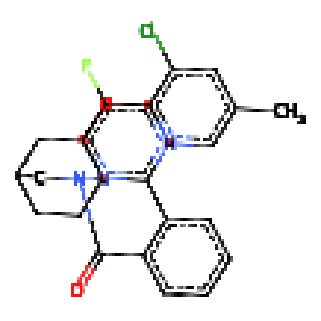 Cc1cnc(OC2CC3CCC2N(C(=O)c2ccccc2-c2ncc(F)cn2)C3)c(Cl)c1